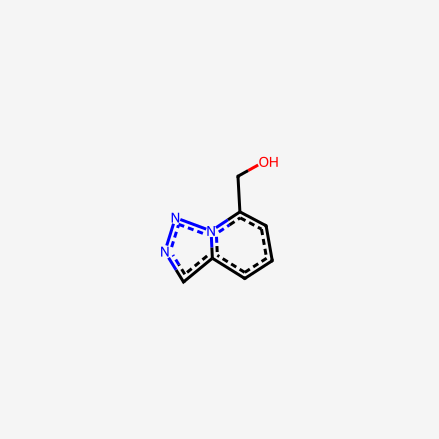 OCc1cccc2cnnn12